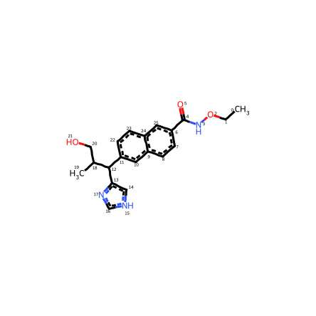 CCONC(=O)c1ccc2cc(C(c3c[nH]cn3)C(C)CO)ccc2c1